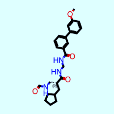 COc1cccc(-c2cccc(C(=O)NCNC(=O)[C@@H](CNC=O)CC3CCCC3)c2)c1